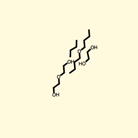 CCCC.CCCCOCCCC.OCCO.OCCOCCO